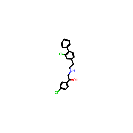 OC(CNCCc1ccc(-c2ccccc2)c(Cl)c1)c1ccc(Cl)cc1